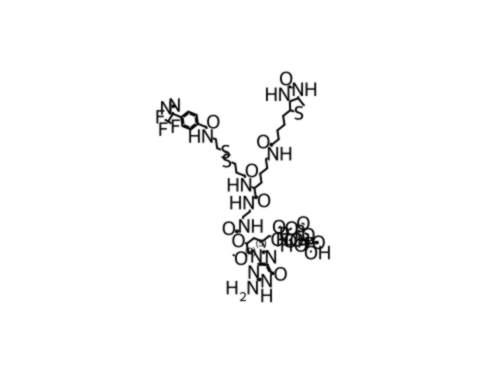 CO[C@H](C(C[C@H](C)COP(=O)(O)OP(=O)(O)OP(=O)(O)O)OC(=O)NCCNC(=O)C(CCCCNC(=O)CCCCC1SCC2NC(=O)NC21)NC(=O)CCSSCCNC(=O)c1ccc(C2(C(F)(F)F)N=N2)cc1)n1cnc2c(=O)[nH]c(N)nc21